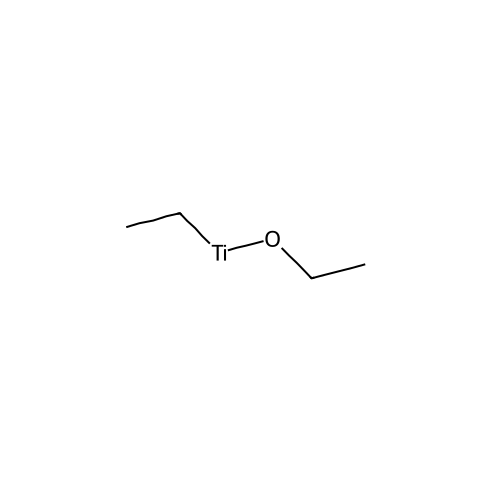 CC[O][Ti][CH2]C